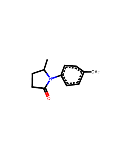 CC(=O)Oc1ccc(N2C(=O)CCC2C)cc1